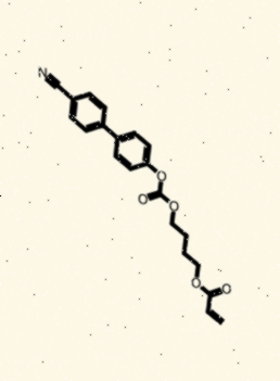 C=CC(=O)OCCCCOC(=O)Oc1ccc(-c2ccc(C#N)cc2)cc1